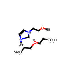 CCOCCN1C=CN(CC)C1.COCCOCCC(=O)O